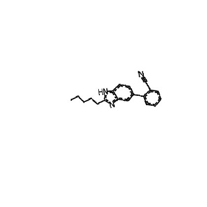 CCCCCc1nc2cc(-c3ccccc3C#N)ccc2[nH]1